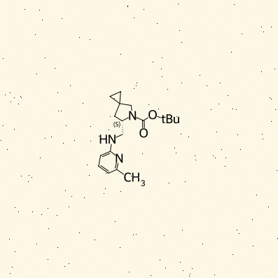 Cc1cccc(NC[C@@H]2CC3(CC3)CN2C(=O)OC(C)(C)C)n1